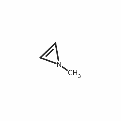 CN1C=C1